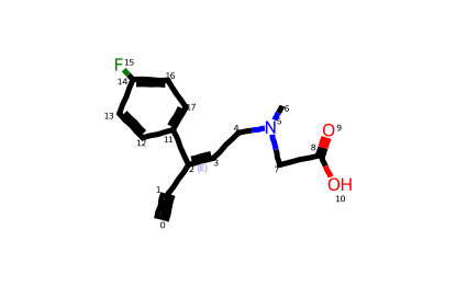 C#C/C(=C/CN(C)CC(=O)O)c1ccc(F)cc1